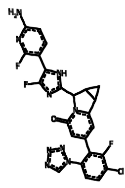 Nc1ccc(-c2[nH]c(C3C4CC4c4cc(-c5c(-n6cnnn6)ccc(Cl)c5F)cc(=O)n43)nc2F)c(F)n1